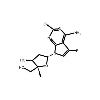 C[C@]1(CO)O[C@@H](n2cc(F)c3c(N)nc(Cl)nc32)C[C@@H]1O